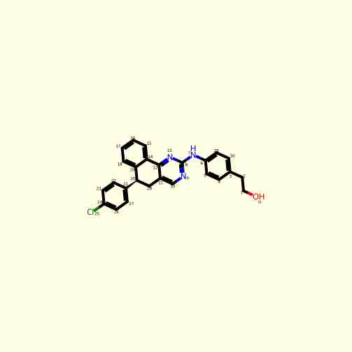 OCCc1ccc(Nc2ncc3c(n2)-c2ccccc2[C@H](c2ccc(Cl)cc2)C3)cc1